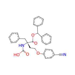 N#Cc1ccc(OCC[C@](Cc2ccccc2)(NC(=O)O)C(=O)OC(c2ccccc2)c2ccccc2)cc1